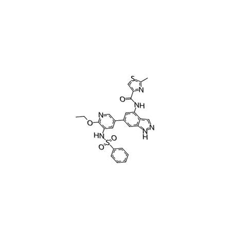 CCOc1ncc(-c2cc(NC(=O)c3csc(C)n3)c3cn[nH]c3c2)cc1NS(=O)(=O)c1ccccc1